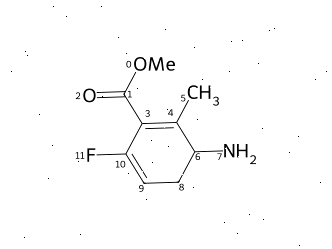 COC(=O)C1=C(C)C(N)CC=C1F